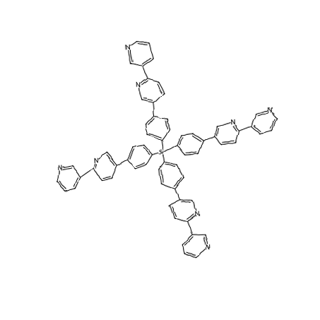 c1cncc(-c2ccc(-c3ccc([Si](c4ccc(-c5ccc(-c6cccnc6)nc5)cc4)(c4ccc(-c5ccc(-c6cccnc6)nc5)cc4)c4ccc(-c5ccc(-c6cccnc6)nc5)cc4)cc3)cn2)c1